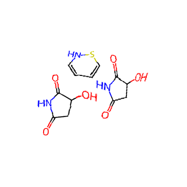 C1=CNSC=C1.O=C1CC(O)C(=O)N1.O=C1CC(O)C(=O)N1